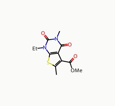 CCn1c(=O)n(C)c(=O)c2c(C(=O)OC)c(C)sc21